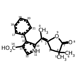 CC(=C1CC(C)(C)C(=O)O1)c1[nH]cc(C(=O)O)c1-c1ccccc1